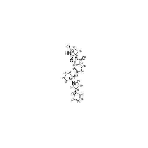 O=C1NC(=O)C2(N3Cc4cc(O[C@@H]5CCCC[C@H]5N5CC[C@@H](c6ccccc6)C5)ccc4C3=O)CC1C2